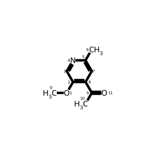 COc1cnc(C)cc1C(C)=O